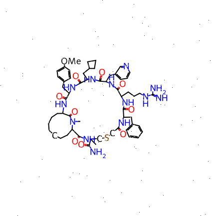 COc1ccc(CC2NC(=O)C(CC3CCC3)NC(=O)C(Cc3cccnc3)NC(=O)C(CCCNC(=N)N)NC(=O)C(Cc3ccccc3)NC(=O)CSCC(C)(C(N)=O)NC(=O)C3CCCCCCCC(NC2=O)C(=O)N3C)cc1